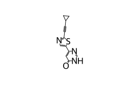 O=c1cc(-c2cnc(C#CC3CC3)s2)nc[nH]1